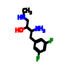 CNCC(O)C(N)Cc1cc(F)cc(F)c1